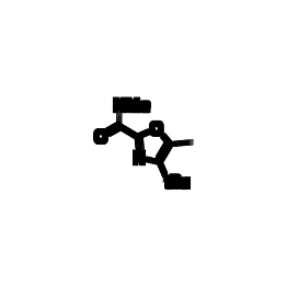 CNC(=O)c1nc(C(C)(C)C)c(C)o1